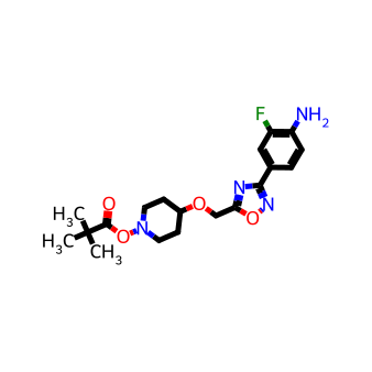 CC(C)(C)C(=O)ON1CCC(OCc2nc(-c3ccc(N)c(F)c3)no2)CC1